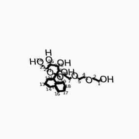 OCCOCCOCCO[C@@]1(c2cccc3ccccc23)O[C@H](CO)[C@H](O)[C@H](O)[C@H]1O